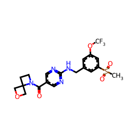 CS(=O)(=O)c1cc(CNc2ncc(C(=O)N3CCC34COC4)cn2)cc(OC(F)(F)F)c1